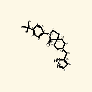 CC(C)(C)c1ccc(N2CCC3(CCC(Cc4ccn[nH]4)CC3)C2=O)cc1